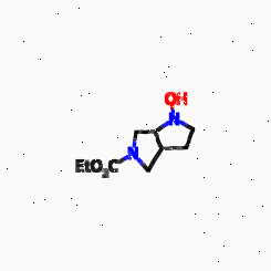 CCOC(=O)N1CC2CCN(O)C2C1